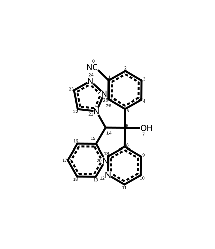 N#Cc1cccc(C(O)(c2cccnc2)C(c2ccccn2)n2ccnn2)c1